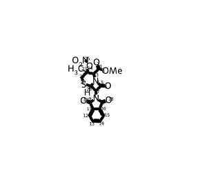 COC(=O)C1N2C(=O)C(N3C(=O)c4ccccc4C3=O)[C@H]2SC[C@@]1(C)O[N+](=O)[O-]